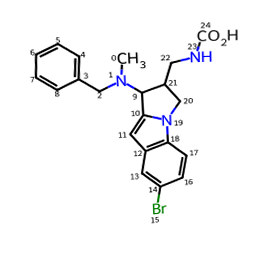 CN(Cc1ccccc1)C1c2cc3cc(Br)ccc3n2CC1CNC(=O)O